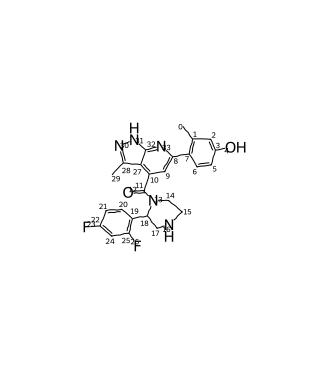 Cc1cc(O)ccc1-c1cc(C(=O)N2CCNCC2c2ccc(F)cc2F)c2c(C)n[nH]c2n1